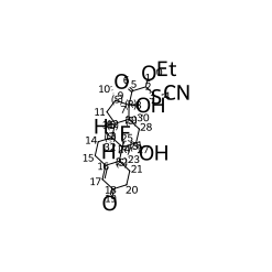 CCOC(SC#N)C(=O)[C@@]1(O)[C@@H](C)C[C@H]2[C@@H]3CCC4=CC(=O)CC[C@]4(C)[C@@]3(F)[C@@H](O)C[C@@]21C